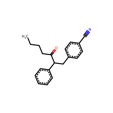 CCCCC(=O)C(Cc1ccc(C#N)cc1)c1ccccc1